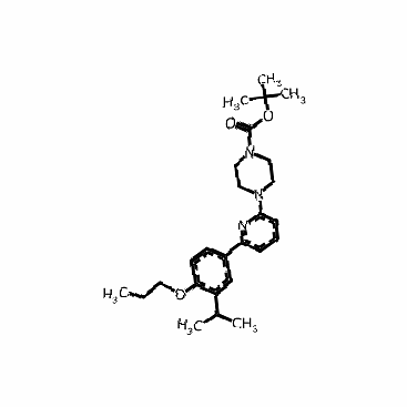 CCCOc1ccc(-c2cccc(N3CCN(C(=O)OC(C)(C)C)CC3)n2)cc1C(C)C